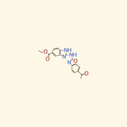 CCOC(=O)c1ccc2[nH]c(Nc3nc4ccc(C(C)=O)cc4o3)nc2c1